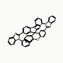 c1ccc(-n2c(-c3ccc4c(c3)C3(c5ccccc5O4)c4ccccc4-c4ccc(-c5nc6ccccc6n5-c5ccccc5)cc43)nc3ccccc32)cc1